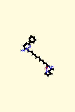 CC(NC(=O)CCCCCCCCCCn1nc(-c2ccccc2)ccc1=N)C1CCCN1